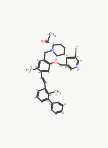 CC(=O)[C@@H]1CCCCN1Cc1cc(C)c(/C=C/c2cccc(-c3ccccc3)c2C)cc1OCc1cncc(F)c1